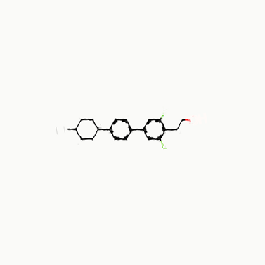 CCC1CCC(c2ccc(-c3cc(F)c(CCO)c(F)c3)cc2)CC1